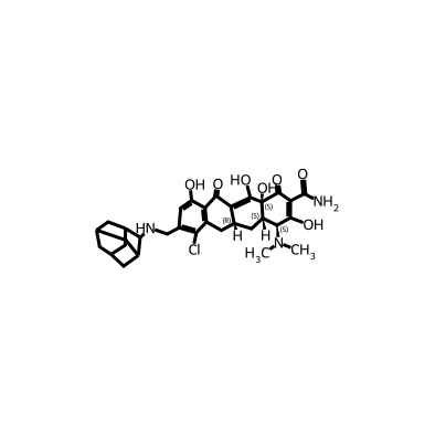 CN(C)[C@@H]1C(O)=C(C(N)=O)C(=O)[C@@]2(O)C(O)=C3C(=O)c4c(O)cc(CNC5C6CC7CC(C6)CC5C7)c(Cl)c4C[C@H]3C[C@@H]12